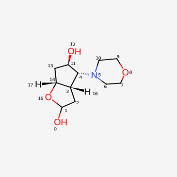 OC1C[C@H]2[C@@H](N3CCOCC3)[C@H](O)C[C@H]2O1